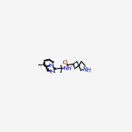 Cc1cccn2c(C(C)(C)NC(=O)C3CC4(CCNC4)C3)ncc12